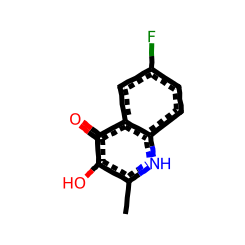 Cc1[nH]c2ccc(F)cc2c(=O)c1O